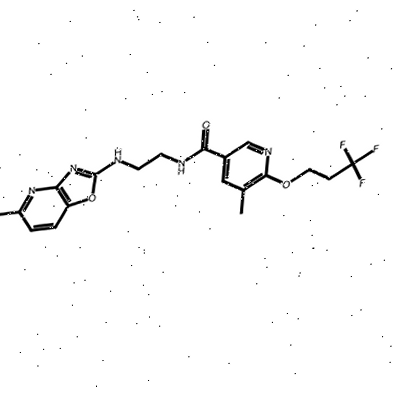 Cc1cc(C(=O)NCCNc2nc3nc(Cl)ccc3o2)cnc1OCCC(F)(F)F